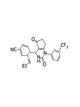 CCSC1C=C(C#N)C=CC1C1NC(=O)N(c2cccc(C(F)(F)F)c2)C2=C1C(=O)CC2